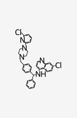 Clc1ccc2c(NC(c3ccccc3)c3ccc(CN4CCN(c5cccc(Cl)n5)CC4)cc3)ccnc2c1